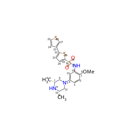 COc1ccc(N2C[C@@H](C)N[C@@H](C)C2)cc1NS(=O)(=O)c1ccc(-c2ccsc2)s1